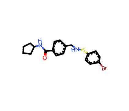 O=C(NC1CCCC1)c1ccc(CNSc2ccc(Br)cc2)cc1